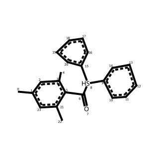 Cc1cc(C)c(C(=O)[SH](c2ccccc2)c2ccccc2)c(C)c1